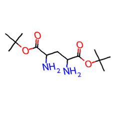 CC(C)(C)OC(=O)C(N)CC(N)C(=O)OC(C)(C)C